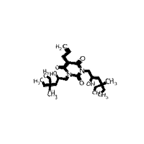 C=CCC1C(=O)N(CC(O)CC(C)(CC)CC)C(=O)N(CC(O)CC(C)(CC)CC)C1=O